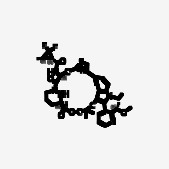 CCn1c(-c2cccnc2[C@H](C)OC)c2c3cc(ccc31)-c1csc(n1)C[C@H](NC(=O)[C@@H]1[C@@H](C)C1(F)F)C(=O)N1CCC[C@H](N1)C(=O)OCC(C)(C)C2